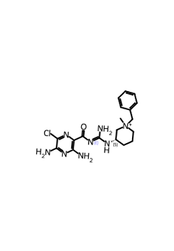 C[N+]1(Cc2ccccc2)CCC[C@H](N/C(N)=N/C(=O)c2nc(Cl)c(N)nc2N)C1